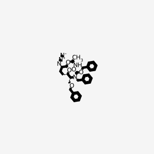 CC(=N)OC1O[C@H]([C@@H](COCc2ccccc2)N(Cc2ccccc2)C(=O)OCc2ccccc2)CC[C@H]1N=[N+]=[N-]